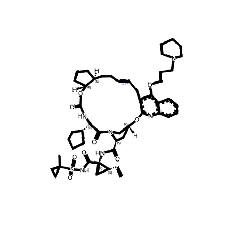 C=C[C@@H]1C[C@]1(NC(=O)[C@@H]1C[C@@H]2CN1C(=O)[C@H](C1CCCC1)NC(=O)O[C@@H]1CCC[C@H]1CC/C=C/Cc1c(nc3ccccc3c1OCCCN1CCCCC1)O2)C(=O)NS(=O)(=O)C1(C)CC1